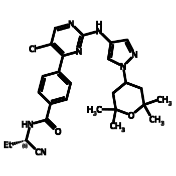 CC[C@@H](C#N)NC(=O)c1ccc(-c2nc(Nc3cnn(C4CC(C)(C)OC(C)(C)C4)c3)ncc2Cl)cc1